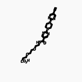 C#Cc1cnc(N2CCN(c3ncc(C(=O)NCCOCCOCCC(=O)O)cn3)CC2)nc1